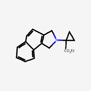 CCOC(=O)C1(N2Cc3ccc4ccccc4c3C2)CC1